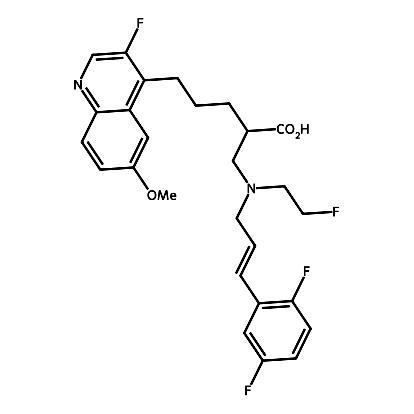 COc1ccc2ncc(F)c(CCCC(CN(CC=Cc3cc(F)ccc3F)CCF)C(=O)O)c2c1